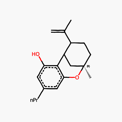 C=C(C)C1CC[C@]2(C)CC1c1c(O)cc(CCC)cc1O2